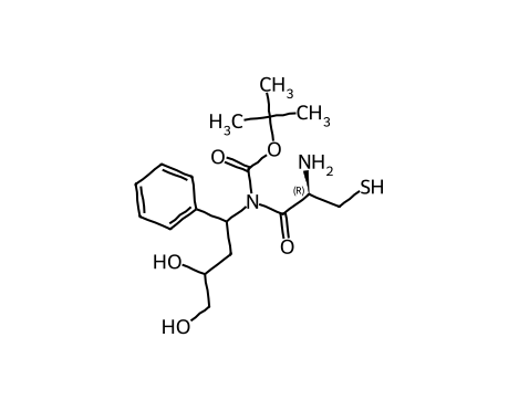 CC(C)(C)OC(=O)N(C(=O)[C@@H](N)CS)C(CC(O)CO)c1ccccc1